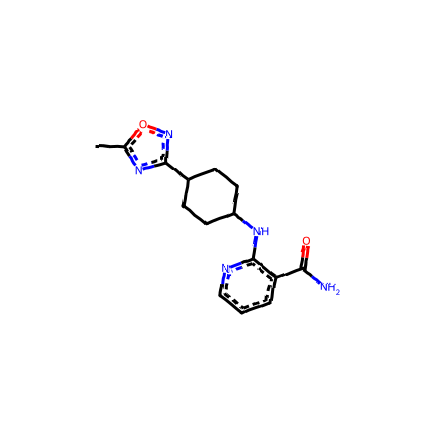 Cc1nc(C2CCC(Nc3ncccc3C(N)=O)CC2)no1